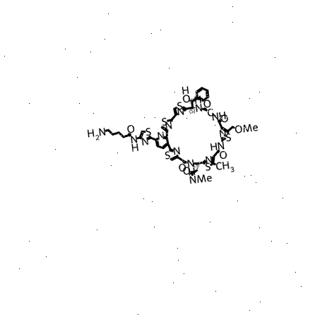 CNC(=O)C[C@@H]1NC(=O)c2csc(n2)-c2ccc(-c3nc(NC(=O)CCCCN)cs3)nc2-c2csc(n2)-c2csc(n2)[C@H]([C@@H](O)c2ccccc2)NC(=O)CNC(=O)c2nc(sc2COC)NC(=O)c2nc1sc2C